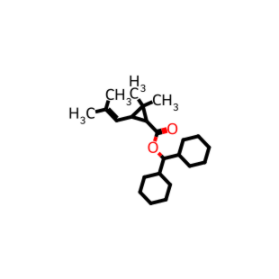 CC(C)=CC1C(C(=O)OC(C2CCCCC2)C2CCCCC2)C1(C)C